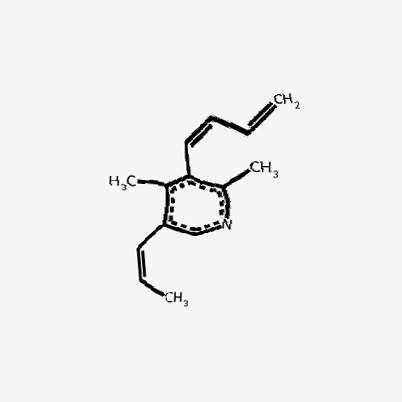 C=C/C=C\c1c(C)ncc(/C=C\C)c1C